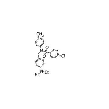 CCN(CC)c1ccc(CN(c2ccc(C)cc2)S(=O)(=O)c2ccc(Cl)cc2)cc1